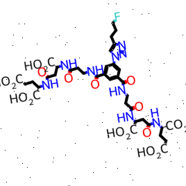 O=C(O)CC[C@H](NC(=O)CC(NC(=O)CCNC(=O)c1cc(C(=O)NCCC(=O)N[C@H](CC(=O)N[C@@H](CCC(=O)O)C(=O)O)C(=O)O)cc(-n2cc(CCCF)nn2)c1)C(=O)O)C(=O)O